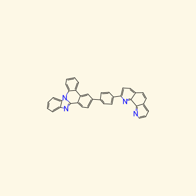 c1cnc2c(c1)ccc1ccc(-c3ccc(-c4ccc5c(c4)c4ccccc4n4c6ccccc6nc54)cc3)nc12